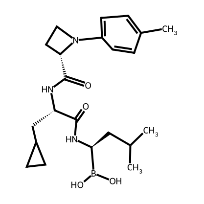 Cc1ccc(N2CC[C@H]2C(=O)N[C@@H](CC2CC2)C(=O)N[C@@H](CC(C)C)B(O)O)cc1